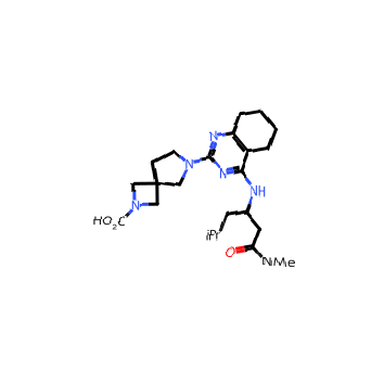 CNC(=O)CC(CC(C)C)Nc1nc(N2CCC3(CN(C(=O)O)C3)C2)nc2c1CCCC2